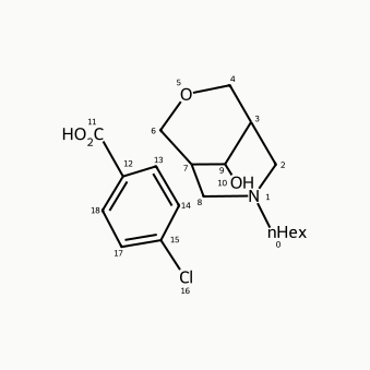 CCCCCCN1CC2COCC(C1)C2O.O=C(O)c1ccc(Cl)cc1